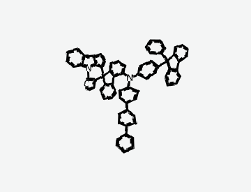 c1ccc(-c2ccc(-c3ccc(N(c4ccc(C5(c6ccccc6)c6ccccc6-c6ccccc65)cc4)c4cccc5c4-c4ccccc4C54c5ccccc5-n5c6ccccc6c6cccc4c65)cc3)cc2)cc1